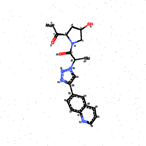 CNC(=O)[C@H]1CC(O)CN1C(=O)C(n1cc(-c2ccc3ncccc3c2)nn1)C(C)(C)C